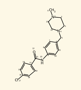 CN1CCN(Cc2ccc(NC(=O)c3ccc(Cl)cc3)cc2)CC1